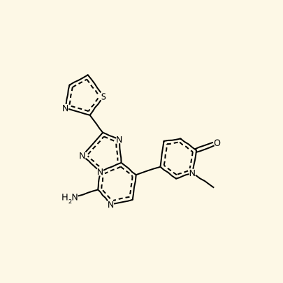 Cn1cc(-c2cnc(N)n3nc(-c4nccs4)nc23)ccc1=O